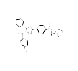 O=C(Nc1ccc(C2=NN(C(=O)c3ccc(Br)cc3)C(c3ccccc3)C2)cc1)N1CCCC1